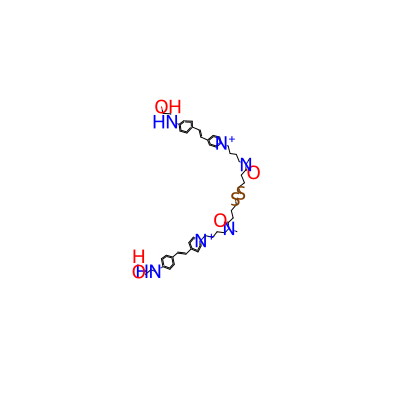 CN(CCCC[n+]1ccc(/C=C/c2ccc(NCCO)cc2)cc1)C(=O)CCCSSCCCC(=O)N(C)CCCC[n+]1ccc(/C=C/c2ccc(NCCO)cc2)cc1